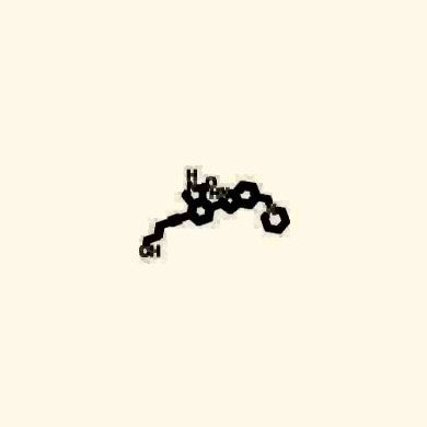 O=C1NCc2c(C#C/C=C/CO)ccc(-c3cc4cc(CN5CCCCC5)ccc4[nH]3)c21